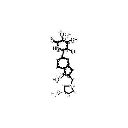 CCc1c(-c2ccc3c(c2)cc(CN2CC[C@H](N)C2)n3C)[nH]c(=O)c(C(=O)O)c1O